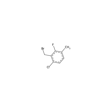 Cc1ccc(Cl)c(CBr)c1F